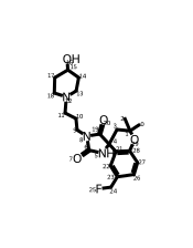 CC1(C)CC2(NC(=O)N(CCCN3CCC(O)CC3)C2=O)c2cc(CF)ccc2O1